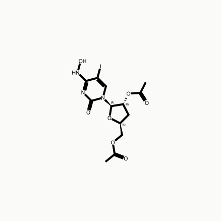 CC(=O)OC[C@@H]1C[C@@H](OC(C)=O)[C@H](n2cc(I)c(NO)nc2=O)O1